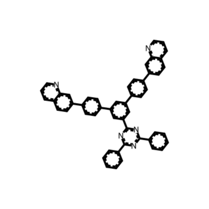 c1ccc(-c2nc(-c3ccccc3)nc(-c3cc(-c4ccc(-c5ccc6cccnc6c5)cc4)cc(-c4ccc(-c5ccc6cccnc6c5)cc4)c3)n2)cc1